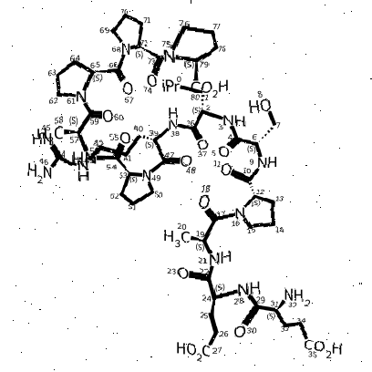 CC(C)C[C@H](NC(=O)[C@H](CO)NC(=O)[C@@H]1CCCN1C(=O)[C@H](C)NC(=O)[C@H](CCC(=O)O)NC(=O)[C@@H](N)CCC(=O)O)C(=O)N[C@@H](CCCNC(=N)N)C(=O)N1CCC[C@H]1C(=O)N[C@@H](C)C(=O)N1CCC[C@H]1C(=O)N1CCC[C@H]1C(=O)N1CCC[C@H]1C(=O)O